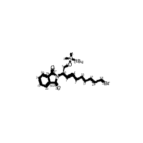 CC(C)(C)[Si](C)(C)OC[C@@H](C=CCCCCCCBr)N1C(=O)c2ccccc2C1=O